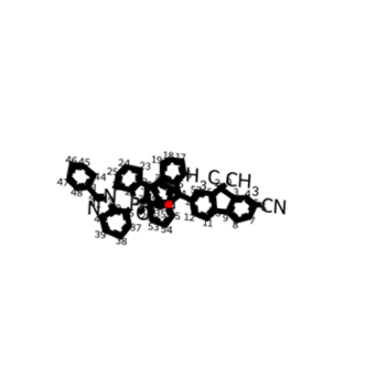 CC1(C)c2cc(C#N)ccc2-c2ccc(-c3c4ccccc4c(-c4cccc5c4P(=O)(c4ccccc4)c4cccc6nc(-c7ccccc7)n-5c46)c4ccccc34)cc21